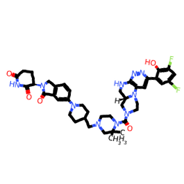 CC1(C)CN(CC2CCN(c3ccc4c(c3)C(=O)N([C@@H]3CCC(=O)NC3=O)C4)CC2)CCN1C(=O)N1CCN2c3cc(-c4cc(F)cc(F)c4O)nnc3NC[C@H]2C1